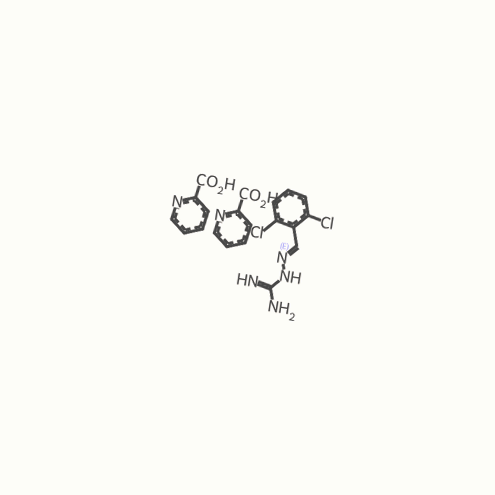 N=C(N)N/N=C/c1c(Cl)cccc1Cl.O=C(O)c1ccccn1.O=C(O)c1ccccn1